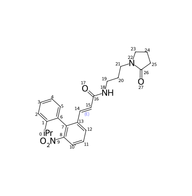 CC(C)c1ccccc1-c1c([N+](=O)[O-])[c]ccc1/C=C/C(=O)NCCCN1CCCC1=O